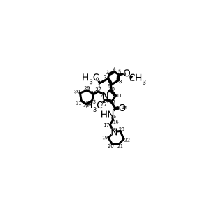 CCc1ccc(OC)cc1-c1cc(C(=O)NCCN2CCCCC2)c(C)n1CC1CCCCC1